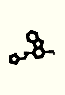 Nc1ccc(NCc2ccco2)c2c1sc1ccccc12